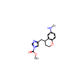 CCNc1ccc2c(c1)C(Cc1cn(C(=O)OC(C)(C)C)cn1)CCO2